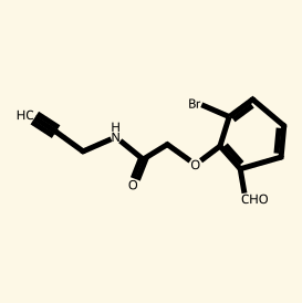 C#CCNC(=O)COc1c(Br)cccc1C=O